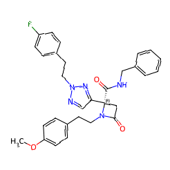 COc1ccc(CCN2C(=O)C[C@]2(C(=O)NCc2ccccc2)c2cnn(CCc3ccc(F)cc3)n2)cc1